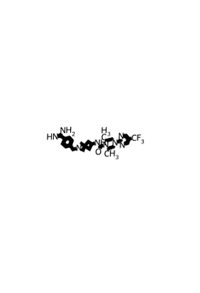 C[C@@H]1CN(c2ncc(C(F)(F)F)cn2)C[C@H](C)N1C(=O)NC1CC2(C1)CN(Cc1ccc(C(=N)N)cc1)C2